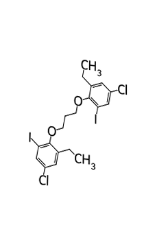 CCc1cc(Cl)cc(I)c1OCCCOc1c(I)cc(Cl)cc1CC